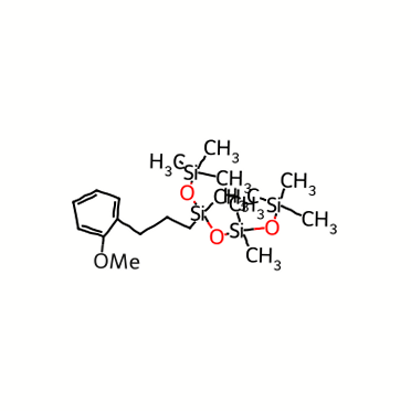 COc1ccccc1CCC[Si](C)(O[Si](C)(C)C)O[Si](C)(C)O[Si](C)(C)C